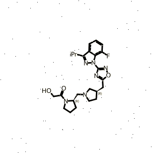 CC(C)c1nn(-c2noc(C[C@H]3CCN(C[C@H]4CCCN4C(=O)CO)C3)n2)c2c(F)cccc12